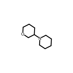 C1CCN(C2CCCOC2)CC1